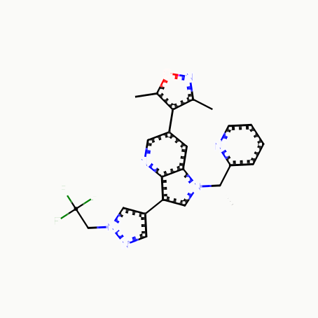 Cc1noc(C)c1-c1cnc2c(-c3cnn(CC(F)(F)F)c3)cn([C@@H](C)c3ccccn3)c2c1